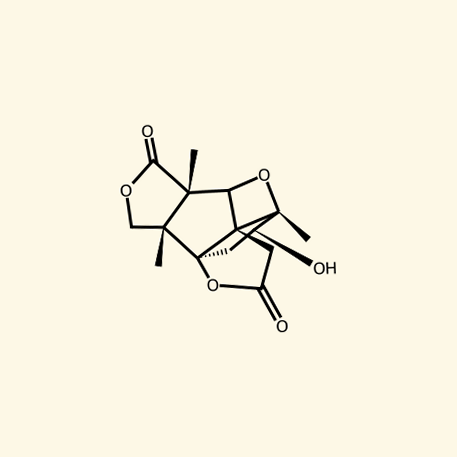 C[C@@]12COC(=O)[C@]1(C)C1O[C@]3(C)[C@@H](O)C[C@]24OC(=O)C[C@]143